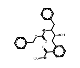 CC(C)(C)NC(=O)c1ccccc1C[C@H](O)C(Cc1ccccc1)NC(=O)OCc1ccccc1